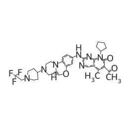 CC(=O)c1c(C)c2cnc(Nc3ccc4c(c3)OC[C@@H]3CN(C5CCN(CC(F)(F)F)CC5)CCN43)nc2n(C2CCCC2)c1=O